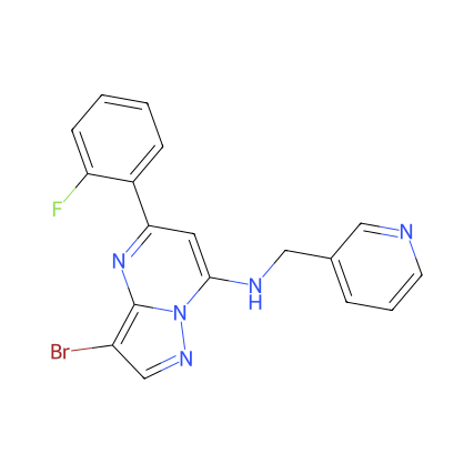 Fc1ccccc1-c1cc(NCc2cccnc2)n2ncc(Br)c2n1